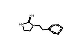 N=C1NCCN1CCc1ccccc1